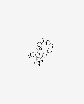 CN(CC1CCN(C(=O)c2ccc3cc(-c4n[nH]c5c4CCC(C)(C)C5)[nH]c3c2)CC1)C1CCN(c2ccc(C3CCC(=O)NC3=O)cc2)CC1